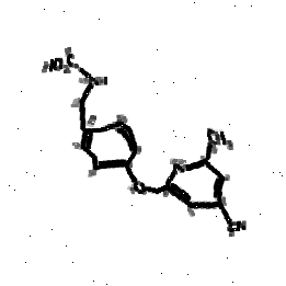 Cc1cc(C#N)cc(Oc2ccc(CNC(=O)O)cc2)n1